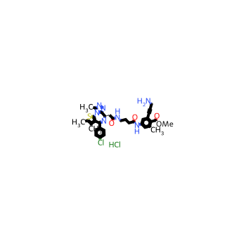 COC(=O)c1c(C)cc(NC(=O)CCCNC(=O)C[C@@H]2N=C(c3ccc(Cl)cc3)c3c(sc(C)c3C)-n3c(C)nnc32)cc1C#CCN.Cl